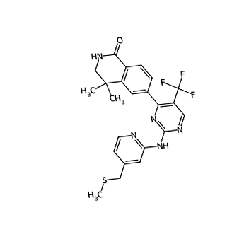 CSCc1ccnc(Nc2ncc(C(F)(F)F)c(-c3ccc4c(c3)C(C)(C)CNC4=O)n2)c1